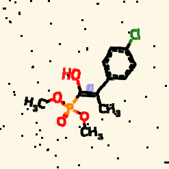 COP(=O)(OC)/C(O)=C(\C)c1ccc(Cl)cc1